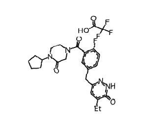 CCc1cc(Cc2ccc(F)c(C(=O)N3CCN(C4CCCC4)C(=O)C3)c2)n[nH]c1=O.O=C(O)C(F)(F)F